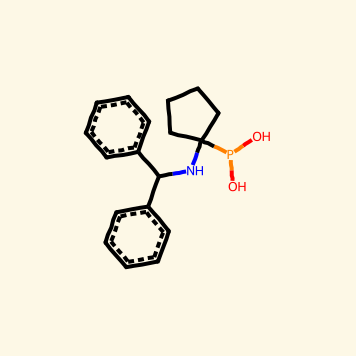 OP(O)C1(NC(c2ccccc2)c2ccccc2)CCCC1